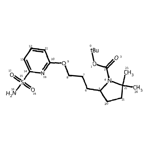 CC(C)(C)OC(=O)N1C(CCCOc2cccc(S(N)(=O)=O)n2)CCC1(C)C